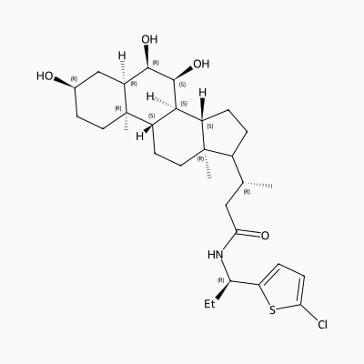 CC[C@@H](NC(=O)C[C@@H](C)C1CC[C@H]2[C@@H]3[C@H](O)[C@H](O)[C@@H]4C[C@H](O)CC[C@]4(C)[C@H]3CC[C@]12C)c1ccc(Cl)s1